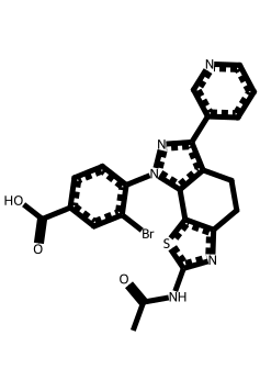 CC(=O)Nc1nc2c(s1)-c1c(c(-c3cccnc3)nn1-c1ccc(C(=O)O)cc1Br)CC2